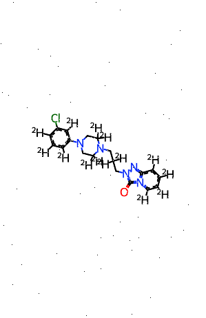 [2H]c1c([2H])c(Cl)c([2H])c(N2CC([2H])([2H])N(CC([2H])([2H])Cn3nc4c([2H])c([2H])c([2H])c([2H])n4c3=O)C([2H])([2H])C2)c1[2H]